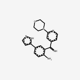 N=C(c1ccnc(N2CCOCC2)c1)c1cc(-c2ccn[nH]2)ccc1N